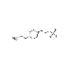 CCCC1CCN(CCCC(F)(F)F)CC1